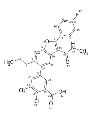 CCCc1nc2oc(-c3ccc(F)cc3)c(C(=O)NC)c2cc1-c1cc(Cl)c(Cl)c(C(=O)O)c1